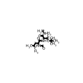 CC(C)CC(NC=O)C(=O)NC(C(=O)NN)C(C)OC(C)(C)C